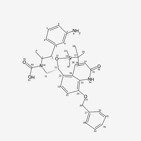 CC(Cc1cccc(N)c1)N(C[C@H](O[Si](C)(C)C(C)(C)C)c1ccc(OCc2ccccc2)c2[nH]c(=O)ccc12)C(=O)O